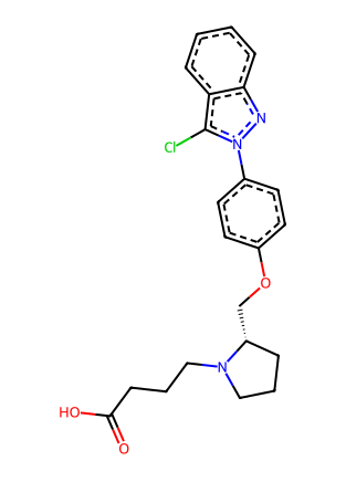 O=C(O)CCCN1CCC[C@H]1COc1ccc(-n2nc3ccccc3c2Cl)cc1